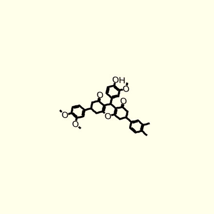 COc1cc(C2C3=C(CC(c4ccc(C)c(C)c4)CC3=O)OC3=C2C(=O)CC(c2ccc(OC)c(OC)c2)C3)ccc1O